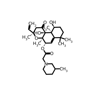 C=C[C@@]1(C)CC(=O)[C@@]2(O)[C@](C)(O1)[C@@H](OC(=O)CN1CCCC(C)C1)C=C1C(C)(C)CC[C@H](O)[C@@]12C